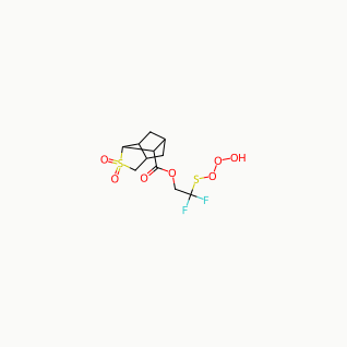 O=C(OCC(F)(F)SOOO)C1C2CC3CS(=O)(=O)C1C3C2